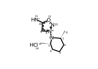 C[C@@H]1CCC[C@H](C)N1[n+]1cc([NH-])on1.Cl